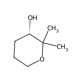 CC1(C)OCCC[C@@H]1O